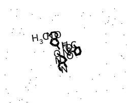 CN1CCOc2cc(COc3nc4ccncc4cc3NS(=O)(=O)c3ccccc3C(F)(F)F)ccc21